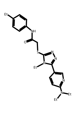 CCc1ccc(NC(=O)CSc2nnc(-c3ccc(N(CC)CC)nc3)n2CC)cc1